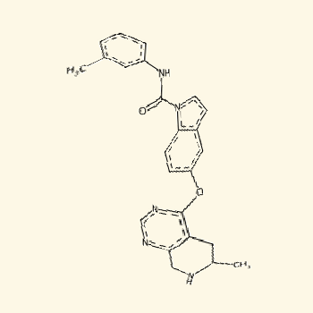 Cc1cccc(NC(=O)n2ccc3cc(Oc4ncnc5c4CC(C)NC5)ccc32)c1